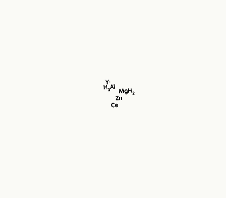 [AlH3].[Ce].[MgH2].[Y].[Zn]